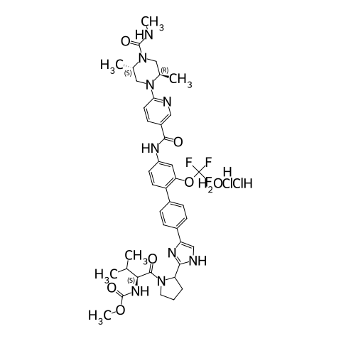 CNC(=O)N1C[C@@H](C)N(c2ccc(C(=O)Nc3ccc(-c4ccc(-c5c[nH]c(C6CCCN6C(=O)[C@@H](NC(=O)OC)C(C)C)n5)cc4)c(OC(F)(F)F)c3)cn2)C[C@@H]1C.Cl.Cl.O